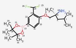 CC(C)C[C@](C)(N)COc1ccc(B2OC(C)(C)C(C)(C)O2)cc1C(F)F